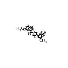 COc1ccc2nnc(C(=O)N3CCC(c4cc(C)cc(C(F)(F)F)c4)CC3)n2c1